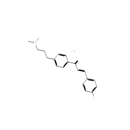 CN(C)CCCc1ccc(C(=O)C=Cc2ccc(F)cc2)cc1.Cl